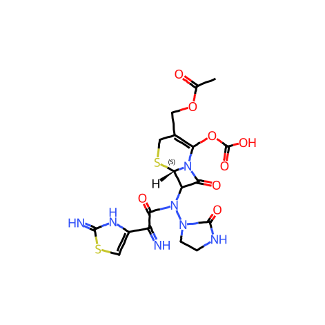 CC(=O)OCC1=C(OC(=O)O)N2C(=O)C(N(C(=O)C(=N)c3csc(=N)[nH]3)N3CCNC3=O)[C@@H]2SC1